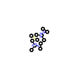 c1ccc(-c2cc(-n3c4ccccc4c4ccccc43)nc(-c3cccc(S(c4ccccc4)(c4ccccc4)c4cccc(-c5nc(-c6ccccc6)cc(-n6c7ccccc7c7ccccc76)n5)c4)c3)n2)cc1